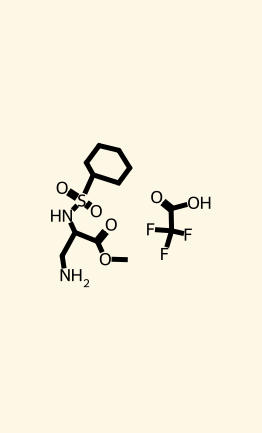 COC(=O)C(CN)NS(=O)(=O)C1CCCCC1.O=C(O)C(F)(F)F